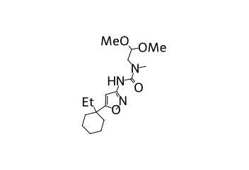 CCC1(c2cc(NC(=O)N(C)CC(OC)OC)no2)CCCCC1